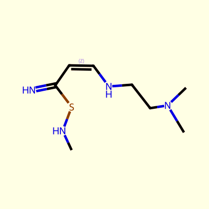 CNSC(=N)/C=C\NCCN(C)C